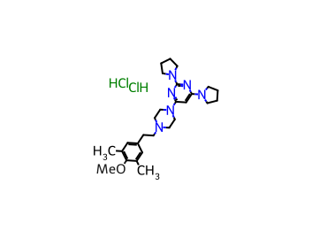 COc1c(C)cc(CCN2CCN(c3cc(N4CCCC4)nc(N4CCCC4)n3)CC2)cc1C.Cl.Cl